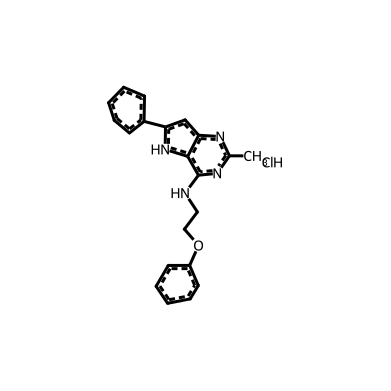 Cc1nc(NCCOc2ccccc2)c2[nH]c(-c3ccccc3)cc2n1.Cl